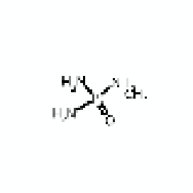 C.NP(N)(N)=O